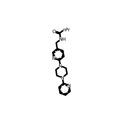 CCCC(=O)NCc1ccc(N2CCN(c3ccccn3)CC2)nc1